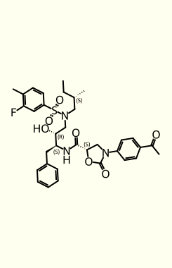 CC[C@H](C)CN(C[C@@H](O)[C@H](Cc1ccccc1)NC(=O)[C@@H]1CN(c2ccc(C(C)=O)cc2)C(=O)O1)S(=O)(=O)c1ccc(C)c(F)c1